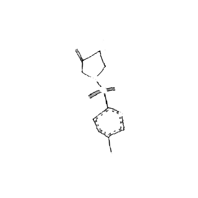 C=C1CN(S(=O)(=O)c2ccc(Cl)cn2)C[C@H]1C